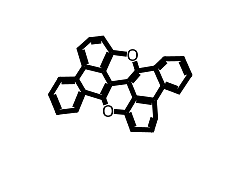 c1ccc2c(c1)c1oc3cccc4c5ccccc5c5oc6cccc2c6c1-c5c34